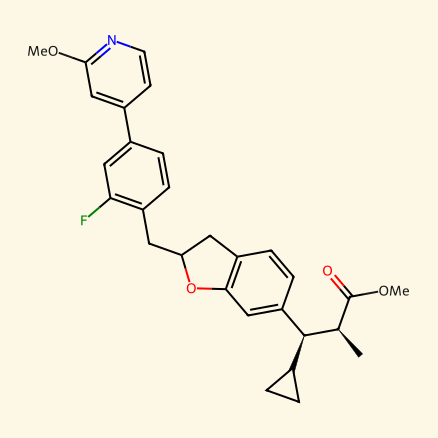 COC(=O)[C@@H](C)[C@H](c1ccc2c(c1)OC(Cc1ccc(-c3ccnc(OC)c3)cc1F)C2)C1CC1